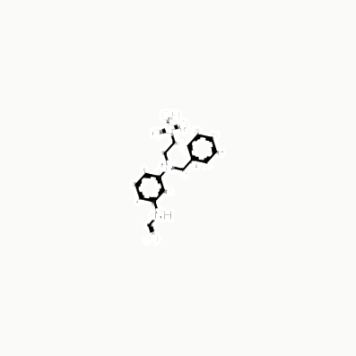 O=CNc1cccc(N(CCS(=O)(=O)O)Cc2ccccc2)c1